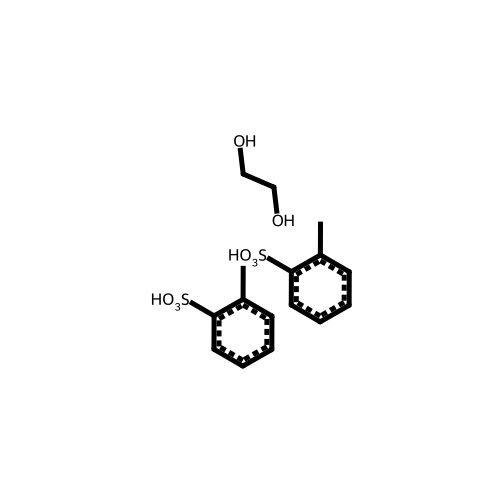 Cc1ccccc1S(=O)(=O)O.Cc1ccccc1S(=O)(=O)O.OCCO